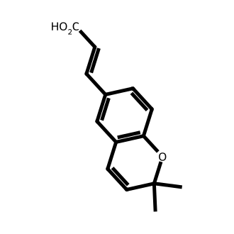 CC1(C)C=Cc2cc(C=CC(=O)O)ccc2O1